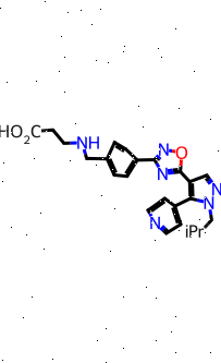 CC(C)Cn1ncc(-c2nc(-c3ccc(CNCCC(=O)O)cc3)no2)c1-c1ccncc1